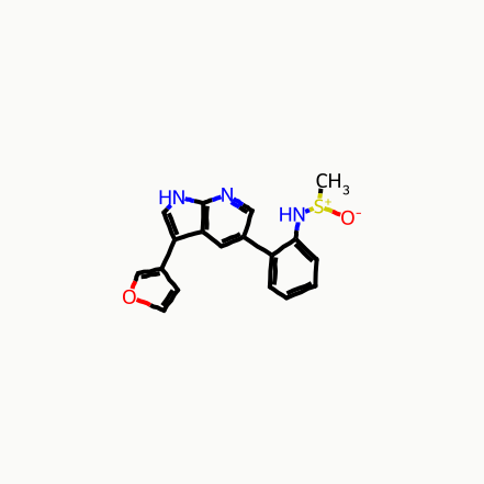 C[S+]([O-])Nc1ccccc1-c1cnc2[nH]cc(-c3ccoc3)c2c1